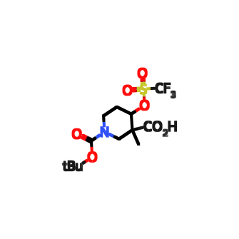 CC(C)(C)OC(=O)N1CCC(OS(=O)(=O)C(F)(F)F)C(C)(C(=O)O)C1